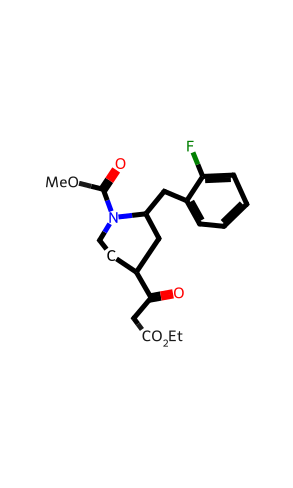 CCOC(=O)CC(=O)C1CCN(C(=O)OC)C(Cc2ccccc2F)C1